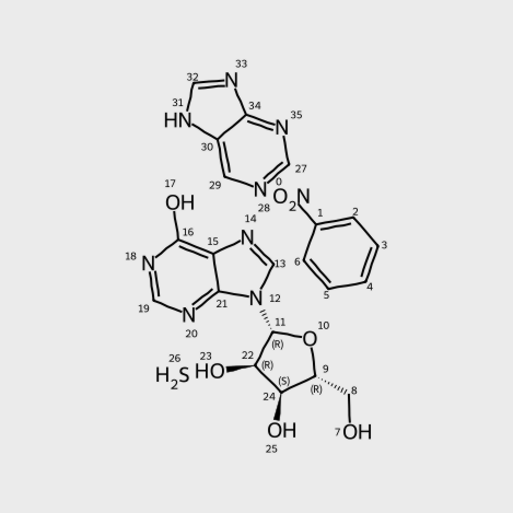 O=[N+]([O-])c1ccccc1.OC[C@H]1O[C@@H](n2cnc3c(O)ncnc32)[C@H](O)[C@@H]1O.S.c1ncc2[nH]cnc2n1